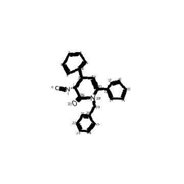 [C-]#[N+]c1c(-c2ccccc2)cc(-c2ccccc2)n(Cc2ccccc2)c1=O